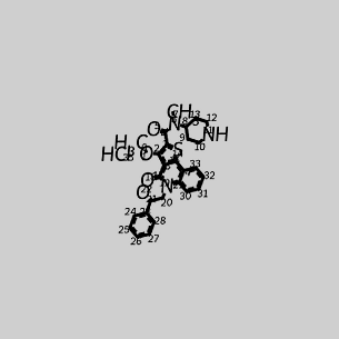 COc1c(C(=O)N(C)C2CCNCC2)sc2c1c(=O)n(CC(=O)c1ccccc1)c1ccccc21.Cl